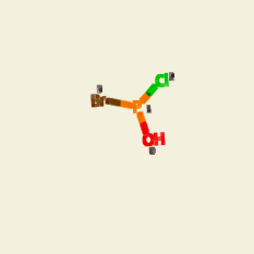 OP(Cl)Br